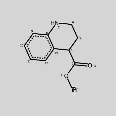 CC(C)OC(=O)C1CCNc2ccccc21